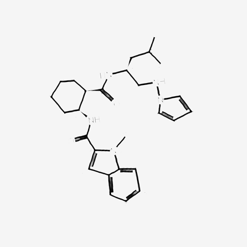 CC(C)C[C@@H](CNn1cccc1)NC(=O)[C@@H]1CCCC[C@@H]1NC(=O)c1cc2ccccc2n1C